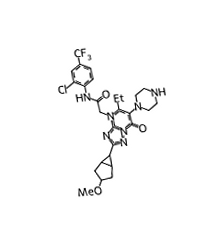 CCc1c(N2CCNCC2)c(=O)n2nc(C3C4CC(OC)CC43)nc2n1CC(=O)Nc1ccc(C(F)(F)F)cc1Cl